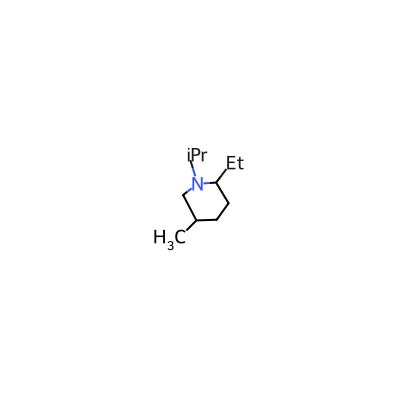 CCC1CCC(C)CN1C(C)C